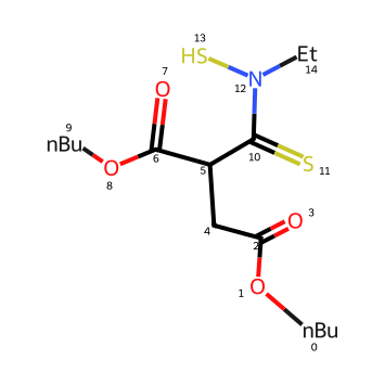 CCCCOC(=O)CC(C(=O)OCCCC)C(=S)N(S)CC